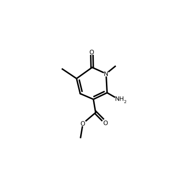 COC(=O)c1cc(C)c(=O)n(C)c1N